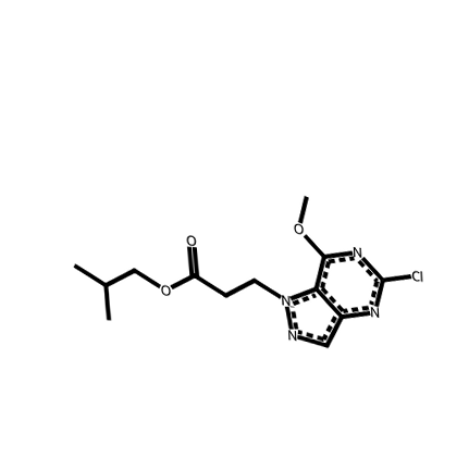 COc1nc(Cl)nc2cnn(CCC(=O)OCC(C)C)c12